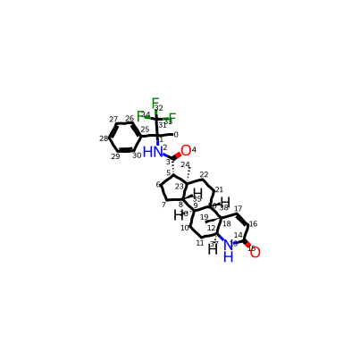 CC(NC(=O)[C@H]1CC[C@H]2[C@@H]3CC[C@@H]4NC(=O)C=C[C@@]4(C)[C@H]3CC[C@]12C)(c1ccccc1)C(F)(F)F